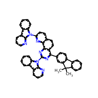 CC1(C)c2ccccc2-c2ccc(-c3nc(-n4c5ccccc5c5cccnc54)nc4c3ccc3ccc(-n5c6ccccc6c6cccnc65)nc34)cc21